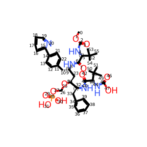 COC(=O)N[C@H](C(=O)N[C@@H](Cc1ccc(-c2ccccn2)cc1)C[C@H](OCOP(=O)(O)O)[C@H](Cc1ccccc1)NC(=O)[C@@H](NC(=O)O)C(C)(C)C)C(C)(C)C